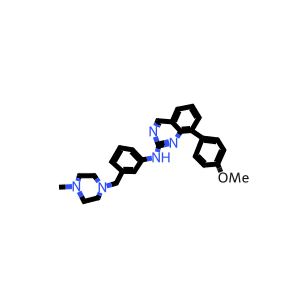 COc1ccc(-c2cccc3cnc(Nc4cccc(CN5CCN(C)CC5)c4)nc23)cc1